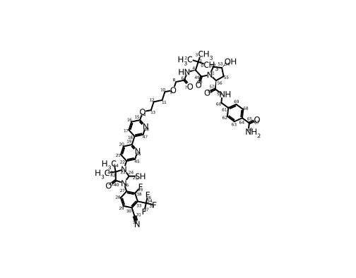 CC(C)(C)[C@H](NC(=O)COCCCCOc1ccc(-c2ccc(N3C(S)N(c4ccc(C#N)c(C(F)(F)F)c4F)C(=O)C3(C)C)cn2)cn1)C(=O)N1C[C@H](O)C[C@H]1C(=O)NCc1ccc(C(N)=O)cc1